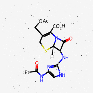 CCC(=O)Nc1c[nH]c(NC2C(=O)N3C(C(=O)O)=C(COC(C)=O)CS[C@@H]23)n1